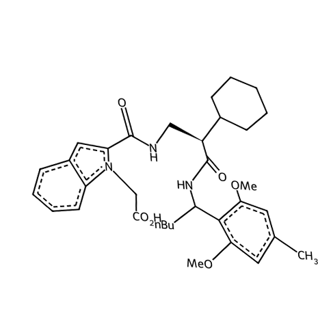 CCCCC(NC(=O)[C@@H](CNC(=O)c1cc2ccccc2n1CC(=O)O)C1CCCCC1)c1c(OC)cc(C)cc1OC